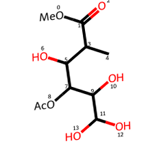 COC(=O)C(C)C(O)C(OC(C)=O)C(O)C(O)O